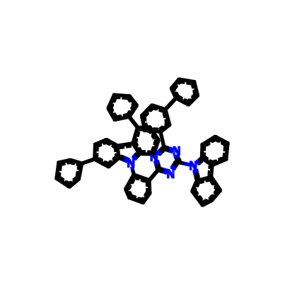 c1ccc(-c2cccc(-c3nc(-c4ccccc4-n4c5cc(-c6ccccc6)ccc5c5c(-c6ccccc6)cccc54)nc(-n4c5ccccc5c5ccccc54)n3)c2)cc1